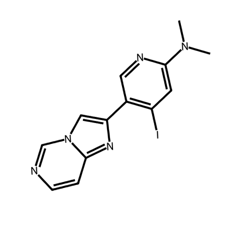 CN(C)c1cc(I)c(-c2cn3cnccc3n2)cn1